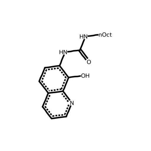 CCCCCCCCNC(=O)Nc1ccc2cccnc2c1O